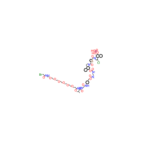 CC(C)C(NC(=O)CCOCCOCCOCCOCCOCCOCCNC(=O)CBr)C(=O)NCC(=O)Nc1ccc(COC(=O)N(C)CCN(C)C(=O)Oc2cc3c(c4ccccc24)CCN3C(=O)c2ccc(C(=O)N3C[C@@H](CCl)c4c3cc(OP(=O)(O)O)c3ccccc43)s2)cc1